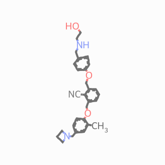 Cc1cc(CN2CCC2)ccc1OCc1cccc(COc2ccc(CNCCO)cc2)c1C#N